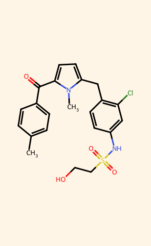 Cc1ccc(C(=O)c2ccc(Cc3ccc(NS(=O)(=O)CCO)cc3Cl)n2C)cc1